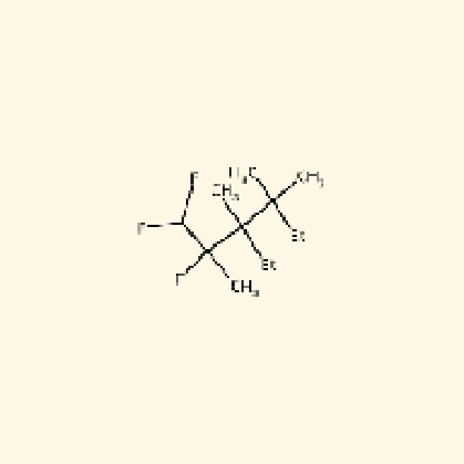 CCC(C)(C)C(C)(CC)C(C)(F)C(F)F